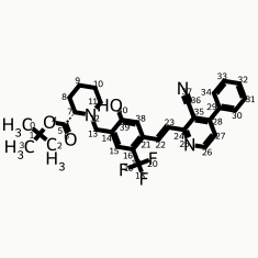 CC(C)(C)OC(=O)[C@@H]1CCCCN1Cc1cc(C(F)(F)F)c(/C=C/c2nccc(-c3ccccc3)c2C#N)cc1O